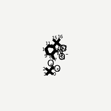 CC(C)(C)C(=O)OCc1cccc(C(C)(C)C)c1[N+](=O)[O-]